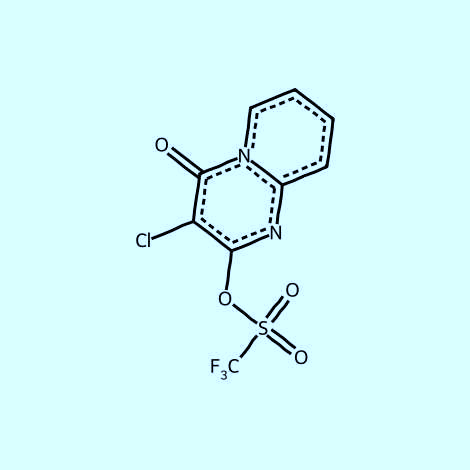 O=c1c(Cl)c(OS(=O)(=O)C(F)(F)F)nc2ccccn12